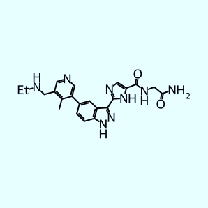 CCNCc1cncc(-c2ccc3[nH]nc(-c4ncc(C(=O)NCC(N)=O)[nH]4)c3c2)c1C